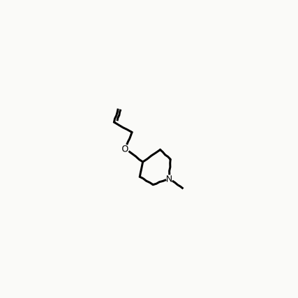 C=CCOC1CCN(C)CC1